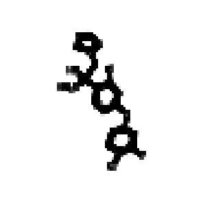 O=C(O)C(O)(Cn1cncn1)c1ccc(Oc2ccc(Cl)c(F)c2)cc1Cl